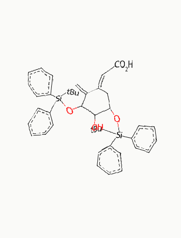 C=C1C(=CC(=O)O)CC(O[Si](c2ccccc2)(c2ccccc2)C(C)(C)C)C(O)C1O[Si](c1ccccc1)(c1ccccc1)C(C)(C)C